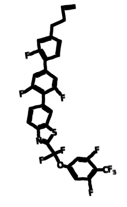 C=CCCc1ccc(-c2cc(F)c(-c3ccc4nc(C(F)(F)Oc5cc(F)c(C(F)(F)F)c(F)c5)sc4c3)c(F)c2)c(F)c1